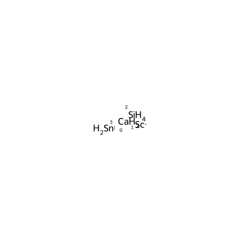 [CaH2].[Sc].[SiH4].[SnH2]